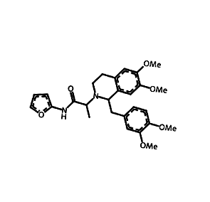 COc1ccc(CC2c3cc(OC)c(OC)cc3CCN2C(C)C(=O)Nc2ccco2)cc1OC